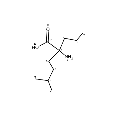 CCCC(N)(CCC(C)C)C(=O)O